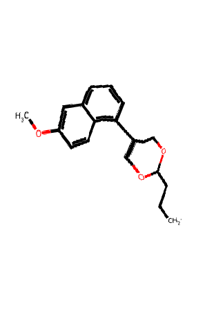 [CH2]CCC1OCC(c2cccc3cc(OC)ccc23)CO1